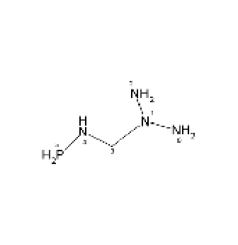 NN(N)CNP